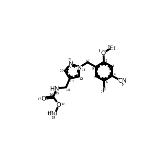 CCOc1cc(C#N)c(F)cc1Cn1cc(CNC(=O)OC(C)(C)C)cn1